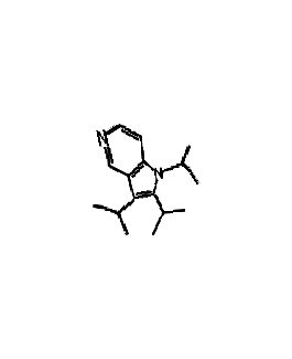 CC(C)c1c(C(C)C)n(C(C)C)c2ccncc12